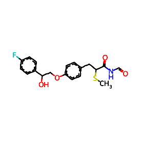 CSC(Cc1ccc(OCC(O)c2ccc(F)cc2)cc1)C(=O)NC=O